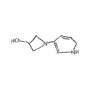 OC1CN(C2=[C]NCC=C2)C1